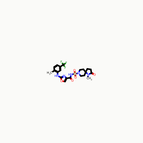 Cc1ccc(C(F)(F)F)cc1Nc1nc(C(=O)NS(=O)(=O)N2CCC3(CCC(=O)N3C)CC2)co1